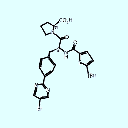 CC(C)(C)c1ccc(C(=O)N[C@@H](Cc2ccc(-c3ncc(Br)cn3)cc2)C(=O)N2CCC[C@H]2C(=O)O)s1